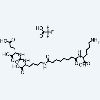 NCCCCC(NC(=O)CCCCCCC(=O)NCCCC[C@H](NC(=O)N[C@@H](CCC(=O)O)C(=O)O)C(=O)O)C(=O)O.O=C(O)C(F)(F)F